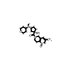 CC(C)[C@]1(C(=O)N2CCc3c(cc(C(F)(F)F)c[n+]3[O-])C2)CC[C@@H](N(C)C2CCOCC2)C1